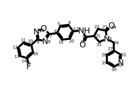 O=C(Nc1ccc(-c2nc(-c3cccc(F)c3)no2)cc1)C1CC(=O)N(Cc2cccnc2)C1